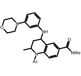 CNC(=O)c1ccc2c(c1)C(Nc1cccc(N3CCOCC3)c1)CC(C)N2C(C)=O